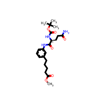 COC(=O)CCCCc1cccc(NC(=O)[C@H](CCC(N)=O)NC(=O)OC(C)(C)C)c1